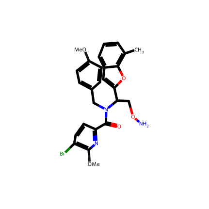 COc1ccc(CN(C(=O)c2ccc(Br)c(OC)n2)C(CON)c2cc3cccc(C)c3o2)cc1